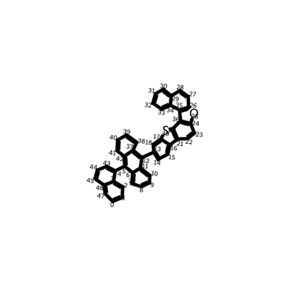 c1ccc2c(-c3c4ccccc4c(-c4ccc5c(c4)sc4c5ccc5oc6ccc7ccccc7c6c54)c4ccccc34)cccc2c1